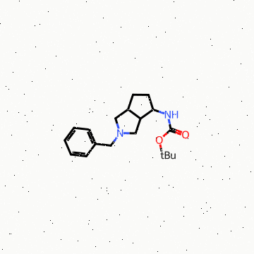 CC(C)(C)OC(=O)NC1CCC2CN(Cc3ccccc3)CC21